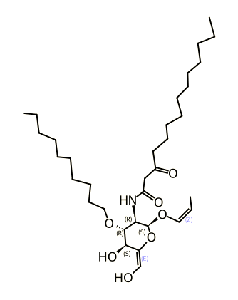 C/C=C\O[C@H]1O/C(=C/O)[C@@H](O)[C@H](OCCCCCCCCCC)[C@H]1NC(=O)CC(=O)CCCCCCCCCCC